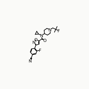 CC(C)(F)CN1CCC(N(C(=O)c2cc(-c3ccc(C#N)cc3F)no2)C2CC2)CC1